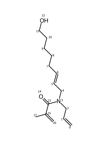 C=CCN(C/C=C/CCCCCO)C(=O)C(=C)C